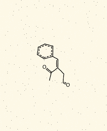 CC(=O)C(=Cc1ccccc1)C[C]=O